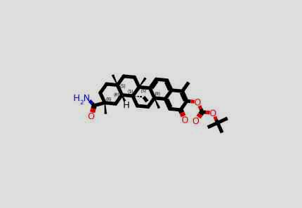 CC[C@@]12CC[C@@]3(C)C4=CC(=O)C(OC(=O)OC(C)(C)C)=C(C)C4=CC=C3[C@@]1(C)CC[C@@]1(C)CC[C@@](C)(C(N)=O)C[C@H]12